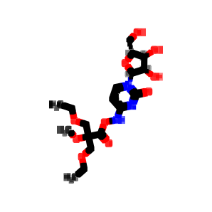 CCOCC(COCC)(OC)C(=O)ONc1ccn([C@@H]2O[C@H](CO)[C@@H](O)[C@H]2O)c(=O)n1